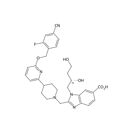 N#Cc1ccc(COc2cccc(C3CCN(Cc4nc5ccc(C(=O)O)cc5n4C[C@@H](O)CCO)CC3)n2)c(F)c1